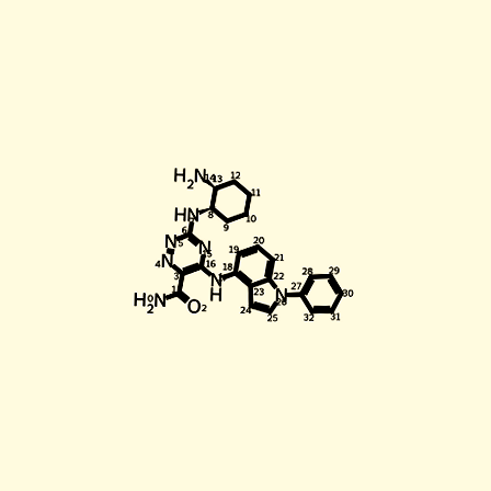 NC(=O)c1nnc(N[C@@H]2CCCC[C@@H]2N)nc1Nc1cccc2c1ccn2-c1ccccc1